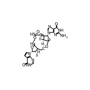 Nc1nc2c(ncn2[C@@H]2OC3OCC[C@H]4[C@H](F)[C@H](n5ccc6c(=O)[nH]cnc65)O[C@@H]4COP(=O)(S)O[C@@H]2[C@@H]3F)c(=O)[nH]1